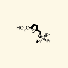 CC(C)[Si](OCc1ccc(C(=O)O)s1)(C(C)C)C(C)C